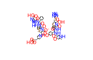 Cc1cc(=O)c(C(=O)N[C@@H](C(=O)N[C@@H]2C(=O)N3C(C(=O)O)=C(CSc4nnnn4C)CS[C@H]23)c2ccc(O)cc2)c[nH]1.O=C([O-])C1=C(C[n+]2ccc(CCS(=O)(=O)O)cc2)CS[C@@H]2[C@H](NC(=O)[C@H](NC(=O)c3[nH]cnc3C(=O)O)c3ccccc3)C(=O)N12